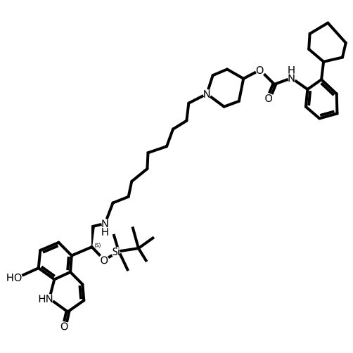 CC(C)(C)[Si](C)(C)O[C@H](CNCCCCCCCCCN1CCC(OC(=O)Nc2ccccc2C2CCCCC2)CC1)c1ccc(O)c2[nH]c(=O)ccc12